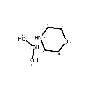 C1COCCN1.OBO